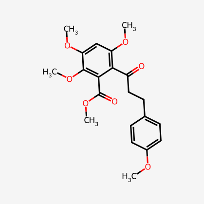 COC(=O)c1c(OC)c(OC)cc(OC)c1C(=O)CCc1ccc(OC)cc1